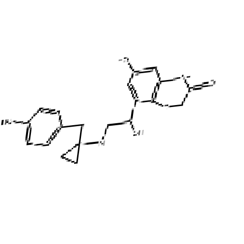 O=C1COc2c(cc(O)cc2C(O)CNC2(Cc3ccc(O)cc3)CC2)N1